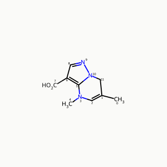 CC1=CN(C)c2c(C(=O)O)cnn2C1